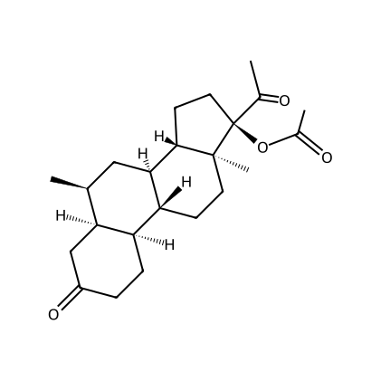 CC(=O)O[C@]1(C(C)=O)CC[C@H]2[C@@H]3C[C@H](C)[C@@H]4CC(=O)CC[C@@H]4[C@H]3CC[C@@]21C